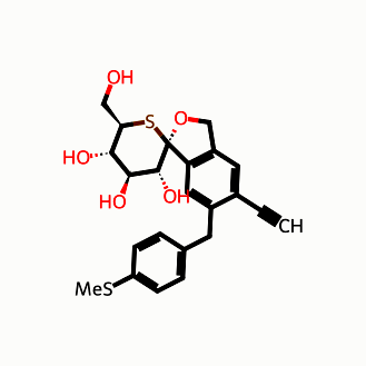 C#Cc1cc2c(cc1Cc1ccc(SC)cc1)[C@]1(OC2)S[C@H](CO)[C@@H](O)[C@H](O)[C@H]1O